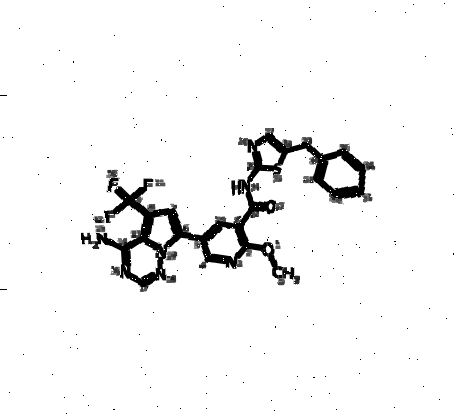 COc1ncc(-c2cc(C(F)(F)F)c3c(N)ncnn23)cc1C(=O)Nc1ncc(Cc2ccccc2)s1